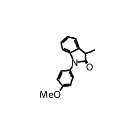 COc1ccc(N2C(=O)C(C)c3ccccc32)cc1